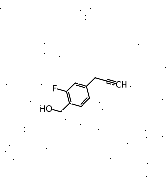 C#CCc1ccc(CO)c(F)c1